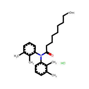 CCCCCCCCCCCCCCCCCC(=O)N(c1cccc(C)c1C)c1cccc(C)c1C.Cl